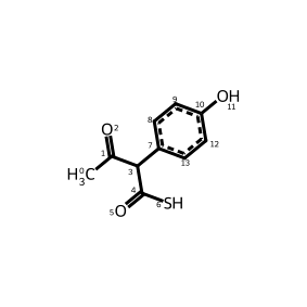 CC(=O)C(C(=O)S)c1ccc(O)cc1